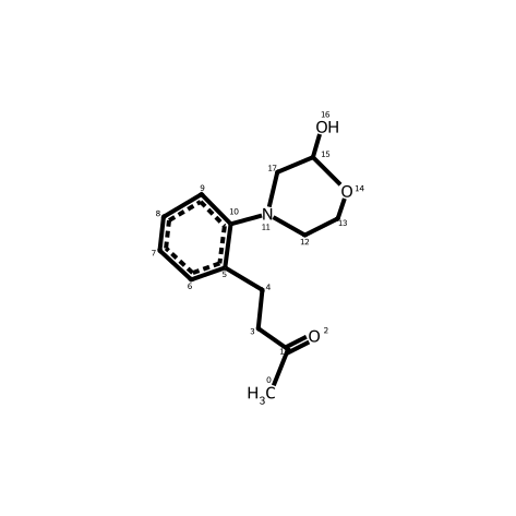 CC(=O)CCc1ccccc1N1CCOC(O)C1